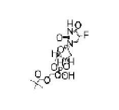 CC(C)(C)C(=O)OCO[PH]1(O)OC[C@H]2O[C@@H](n3cc(F)c(=O)[nH]c3=O)C[C@@H]2O1